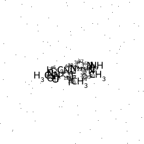 CC1=C(CN2CCCN(C)S2(=O)=O)C=C(C(C)(F)I)C2=CN(C3=C=C(C(C4=NNCN4C)C4CCC4)CCC3)CCN21